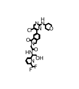 O=C(CN1Cc2ccc(-c3nc(NC4CCOCC4)ncc3Cl)cc2C1=O)NC(CO)c1cccc(C(F)F)n1